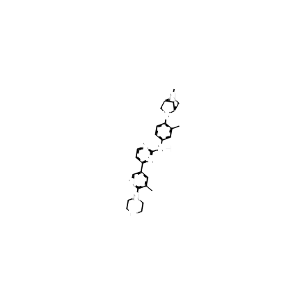 Cc1cc(Nc2nccc(-c3cnc(N4CCOCC4)c(C)c3)n2)ccc1N1CC2CC1CN2C